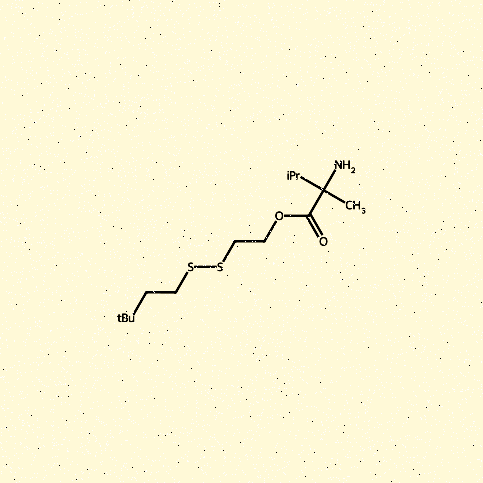 CC(C)C(C)(N)C(=O)OCCSSCCC(C)(C)C